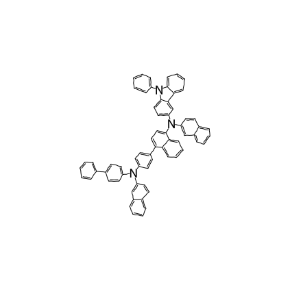 c1ccc(-c2ccc(N(c3ccc(-c4ccc(N(c5ccc6ccccc6c5)c5ccc6c(c5)c5ccccc5n6-c5ccccc5)c5ccccc45)cc3)c3ccc4ccccc4c3)cc2)cc1